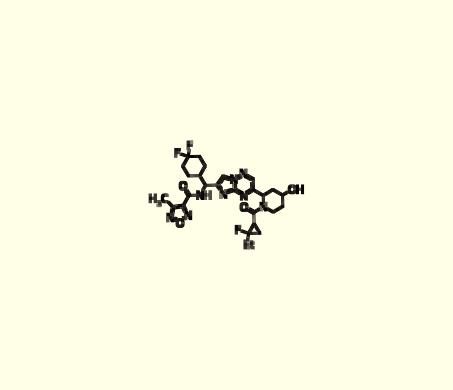 CCC1(F)CC1C(=O)N1CCC(O)CC1c1cnn2cc(C(NC(=O)c3nonc3C)C3CCC(F)(F)CC3)nc2n1